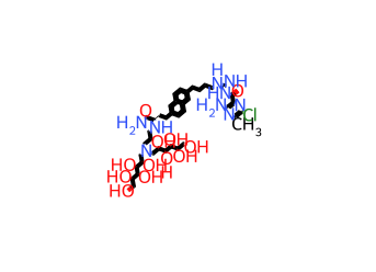 Cc1nc(N)c(C(=O)NC(=N)NCCCCc2ccc3cc(CC[C@H](NCCCN(C[C@H](O)[C@@H](O)[C@H](O)[C@H](O)CO)C[C@H](O)[C@@H](O)[C@H](O)[C@H](O)CO)C(N)=O)ccc3c2)nc1Cl